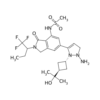 CCC(N1Cc2cc(C3=CCN(N)N3[C@H]3C[C@H](C(C)(C)O)C3)cc(NS(C)(=O)=O)c2C1=O)C(F)(F)F